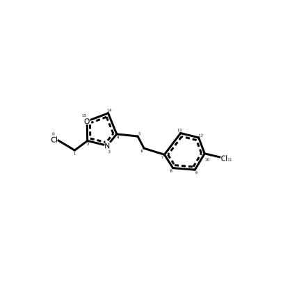 ClCc1nc(CCc2ccc(Cl)cc2)co1